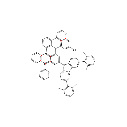 Cc1cccc(C)c1-c1ccc2c(c1)c1cc(-c3c(C)cccc3C)ccc1n2-c1cc(C(c2cccc(Cl)c2)c2c(-c3ccccc3)cccc2-c2ccccc2)cc(N(c2ccccc2)c2ccccc2)c1